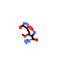 COc1c(C(N)=O)noc1C(N)=O